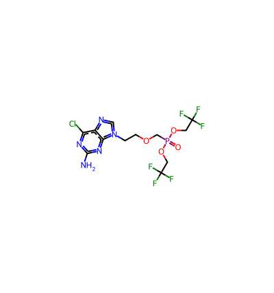 Nc1nc(Cl)c2ncn(CCOCP(=O)(OCC(F)(F)F)OCC(F)(F)F)c2n1